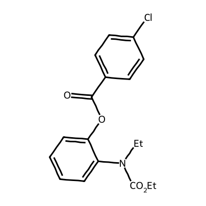 CCOC(=O)N(CC)c1ccccc1OC(=O)c1ccc(Cl)cc1